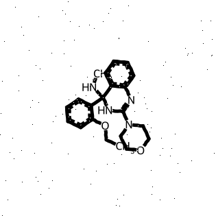 CCOc1ccccc1C1(NC)NC(N2CCOCC2)=Nc2ccccc21